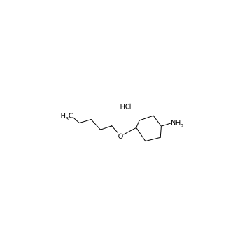 CCCCCOC1CCC(N)CC1.Cl